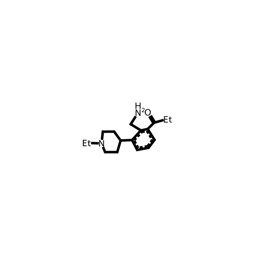 CCC(=O)c1cccc(C2CCN(CC)CC2)c1CN